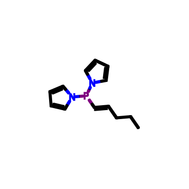 CCCC=CP(n1cccc1)n1cccc1